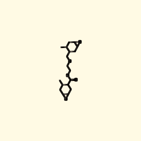 CC1CC2OC2CC1COCCOC(=O)C1CC2OC2CC1C